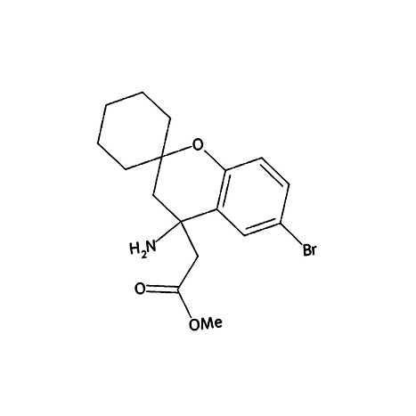 COC(=O)CC1(N)CC2(CCCCC2)Oc2ccc(Br)cc21